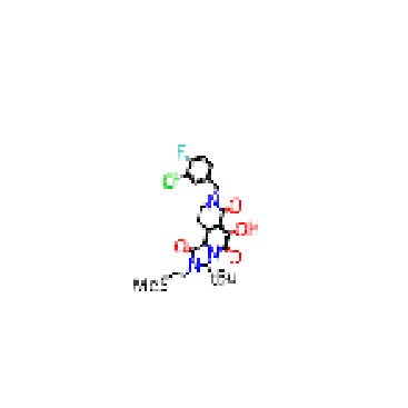 CSCCN1C(=O)c2c3c(c(O)c(=O)n2C1C(C)(C)C)C(=O)N(Cc1ccc(F)c(Cl)c1)CC3